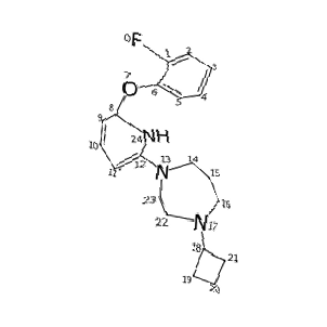 Fc1ccccc1OC1C=C[C]=C(N2CCCN(C3CCC3)CC2)N1